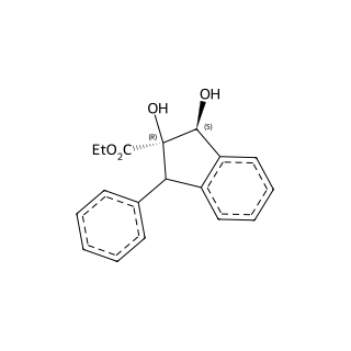 CCOC(=O)[C@@]1(O)C(c2ccccc2)c2ccccc2[C@@H]1O